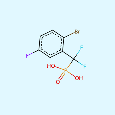 O=P(O)(O)C(F)(F)c1cc(I)ccc1Br